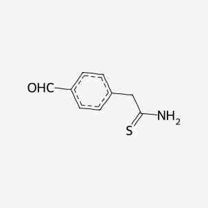 NC(=S)Cc1ccc(C=O)cc1